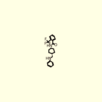 O=C(N[C@H]1CC[C@H](CNc2ccccc2)CC1)c1ccccc1C(F)(F)F